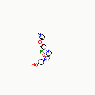 O=C1N(C2CCC(O)CC2)CC[C@]12CCCN(c1ccc(Oc3cccnc3)cc1F)C2